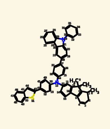 CC1CC=CC2=C1C(C)(C)c1cc(N(c3ccc(-c4ccc5c(c4)c4ccccc4n5-c4ccccc4)cc3)c3ccc(-c4cc5ccccc5s4)cc3)ccc12